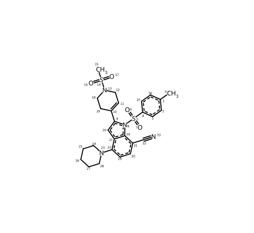 Cc1ccc(S(=O)(=O)n2c(C3=CCN(S(C)(=O)=O)CC3)cc3c(N4CCCCC4)ccc(C#N)c32)cc1